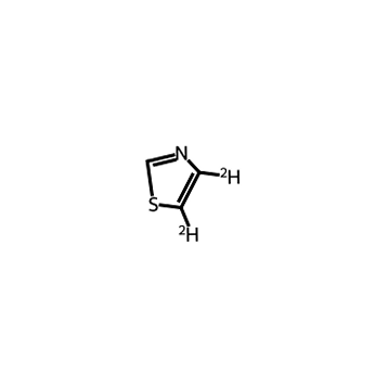 [2H]c1ncsc1[2H]